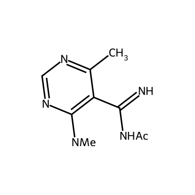 CNc1ncnc(C)c1C(=N)NC(C)=O